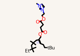 CCC(C)(C)CC(C)(C)C/C(=C/CCC(C)(C)C)COC(=O)CCC(=O)OCCn1cc[n+](C)c1